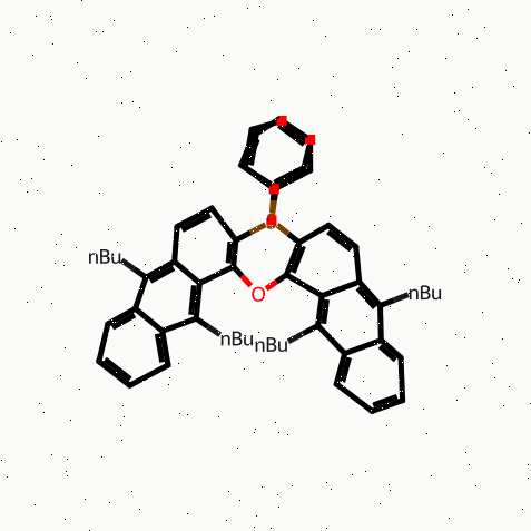 CCCCc1c2ccccc2c(CCCC)c2c(Oc3c(Sc4ccccc4)ccc4c(CCCC)c5ccccc5c(CCCC)c34)c(Sc3ccccc3)ccc12